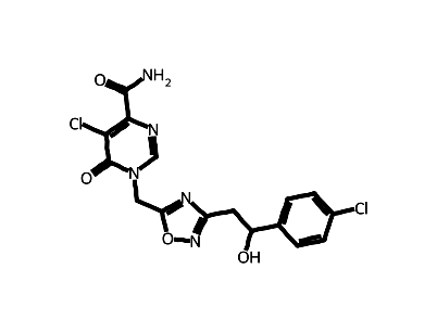 NC(=O)c1ncn(Cc2nc(CC(O)c3ccc(Cl)cc3)no2)c(=O)c1Cl